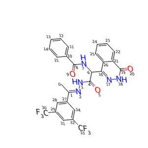 C/C(=N\NC(=O)C(NC(=O)c1ccccc1)c1n[nH]c(=O)c2ccccc12)c1cc(C(F)(F)F)cc(C(F)(F)F)c1